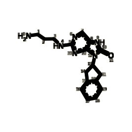 NCCCNc1ncc2[nH]c(=O)n(C3Cc4ccccc4C3)c2n1